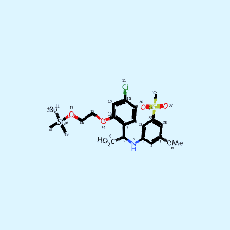 COc1cc(NC(C(=O)O)c2ccc(Cl)cc2OCCO[Si](C)(C)C(C)(C)C)cc(S(C)(=O)=O)c1